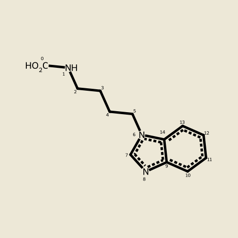 O=C(O)NCCCCn1cnc2ccccc21